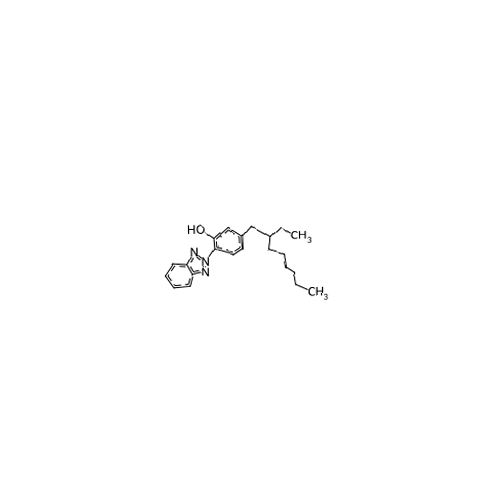 CCCCCCC(CC)Cc1ccc(-n2nc3ccccc3n2)c(O)c1